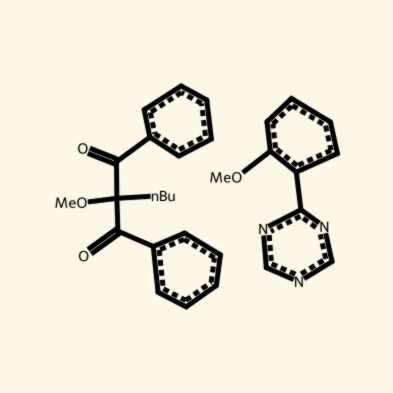 CCCCC(OC)(C(=O)c1ccccc1)C(=O)c1ccccc1.COc1ccccc1-c1ncncn1